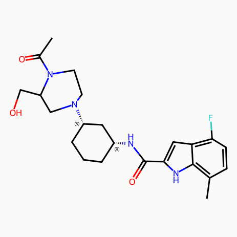 CC(=O)N1CCN([C@H]2CCC[C@@H](NC(=O)c3cc4c(F)ccc(C)c4[nH]3)C2)CC1CO